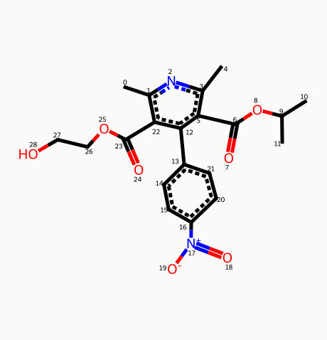 Cc1nc(C)c(C(=O)OC(C)C)c(-c2ccc([N+](=O)[O-])cc2)c1C(=O)OCCO